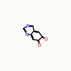 O=C1C=c2cncnc2=CC1=O